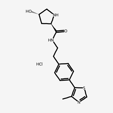 Cc1ncsc1-c1ccc(CCNC(=O)[C@H]2C[C@H](O)CN2)cc1.Cl